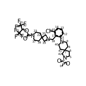 CS(=O)(=O)N1CCC2(CCN(c3cccc(Cl)c3CN3CC4(CCN(C(=O)OC(C(F)(F)F)C(F)(F)F)CC4)C3)CC2)C1